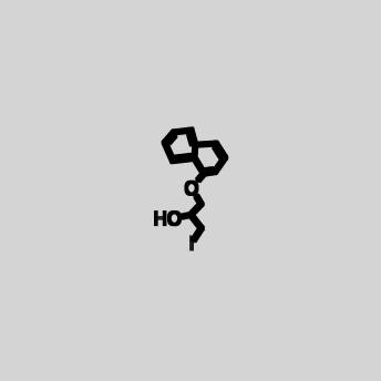 OC(CI)COc1cccc2ccccc12